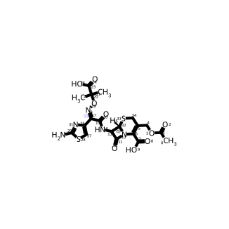 CC(=O)OCC1=C(C(=O)O)N2C(=O)C(NC(=O)/C(=N\OC(C)(C)C(=O)O)c3csc(N)n3)[C@@H]2SC1